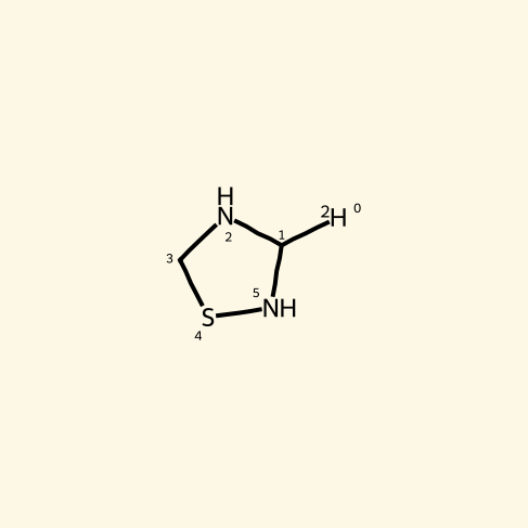 [2H]C1NCSN1